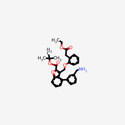 CCOC(=O)Cc1ccccc1OCc1c(C(=O)OC(C)(C)C)oc2cccc(-c3cccc(CN)c3)c12